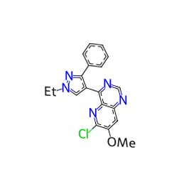 CCn1cc(-c2ncnc3cc(OC)c(Cl)nc23)c(-c2ccccc2)n1